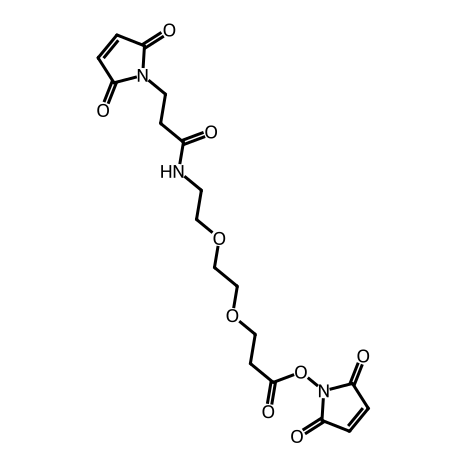 O=C(CCN1C(=O)C=CC1=O)NCCOCCOCCC(=O)ON1C(=O)C=CC1=O